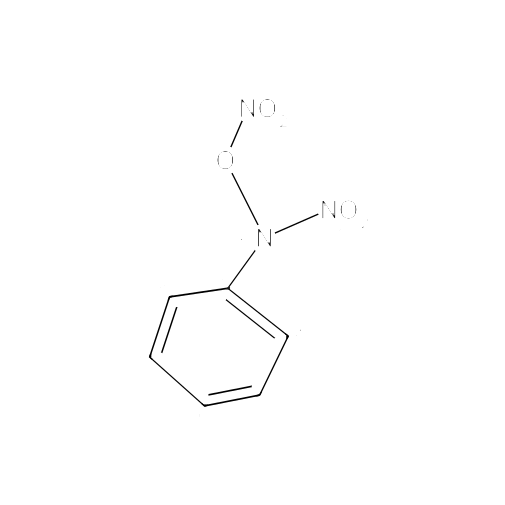 O=[N+]([O-])ON(c1ccccc1)[N+](=O)[O-]